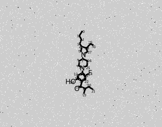 CCCCC1CN(C2CCN(c3cc(O)c(C(=O)C(C)CC)cc3F)CC2)CC1CC